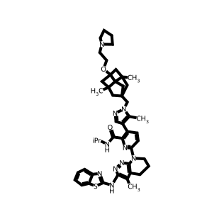 Cc1c(Nc2nc3ccccc3s2)nnc2c1CCCN2c1ccc(-c2cnn(CC34CC5(C)CC6(OCCN7CCCC7)CC(C)(C3)C56C4)c2C)c(C(=O)NC(C)C)n1